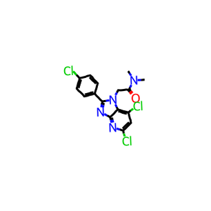 CN(C)C(=O)Cn1c(-c2ccc(Cl)cc2)nc2nc(Cl)cc(Cl)c21